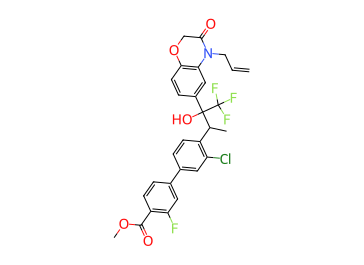 C=CCN1C(=O)COc2ccc(C(O)(C(C)c3ccc(-c4ccc(C(=O)OC)c(F)c4)cc3Cl)C(F)(F)F)cc21